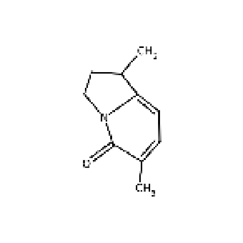 Cc1ccc2n(c1=O)CCC2C